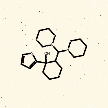 OC1(c2cccs2)CCCCC1C(N1CCCCC1)N1CCCCC1